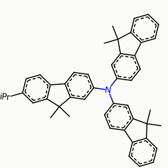 CC(C)c1ccc2c(c1)C(C)(C)c1cc(N(c3ccc4c(c3)C(C)(C)c3ccccc3-4)c3ccc4c(c3)C(C)(C)c3ccccc3-4)ccc1-2